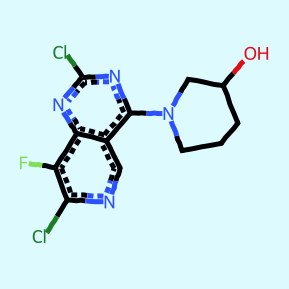 OC1CCCN(c2nc(Cl)nc3c(F)c(Cl)ncc23)C1